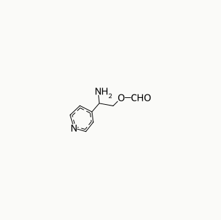 NC(COC=O)c1ccncc1